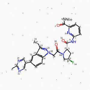 CNC(=O)c1cccc(NC(=O)[C@@H]2C[C@@H](F)CN2C(=O)Cn2nc(C(C)=O)c3cc(-c4cnc(C)nc4)ccc32)n1